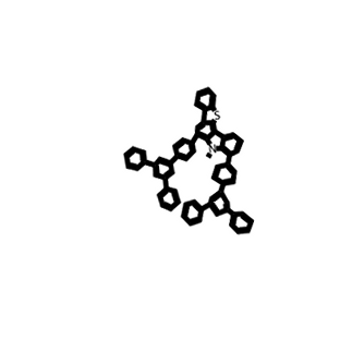 Cn1c2c(-c3ccc(-c4cc(-c5ccccc5)cc(-c5ccccc5)c4)cc3)cccc2c2c3sc4ccccc4c3cc(-c3ccc(-c4cc(-c5ccccc5)cc(-c5ccccc5)c4)cc3)c21